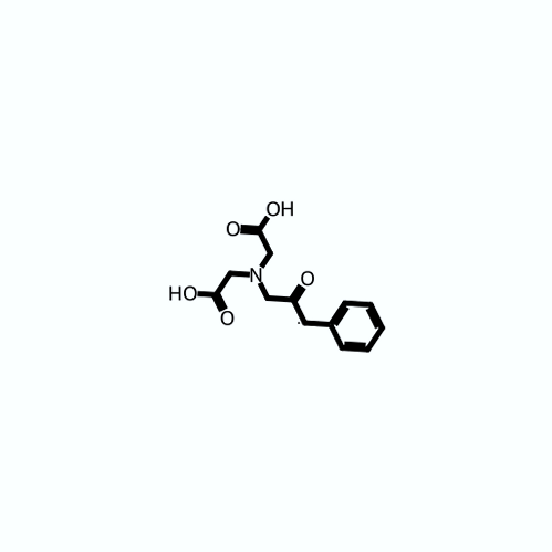 O=C(O)CN(CC(=O)O)CC(=O)[CH]c1ccccc1